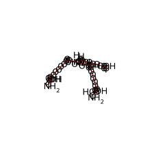 NCOCCC(CO)OP(=O)(O)OCCOCCOCCOCCOCCOCCOP(=O)(O)OCCCCC(=O)NCC(CNC(=O)CCCCOP(=O)(O)OCCOCCOCCOCCOCCOCCOP(=O)(O)OC(CO)CCOCN)OP(=O)(O)OCCOCCOCCOCCOCCOCCOP(=O)(O)OI